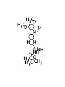 COc1cc(OC)cc(N(CC2CC2)c2ccc3ncc(/C(C=N)=C/NC(=O)OC(C)(C)C)nc3c2)c1